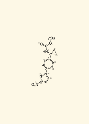 CC(C)(C)OC(=O)NC1(c2ccc(-n3ccc([N+](=O)[O-])n3)cc2)CC1